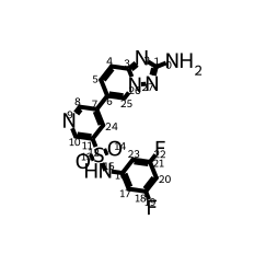 Nc1nc2ccc(-c3cncc(S(=O)(=O)Nc4cc(F)cc(F)c4)c3)cn2n1